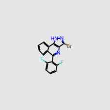 Fc1cccc(F)c1-c1nc2c(Br)n[nH]c2c2ccccc12